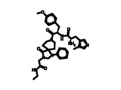 CCNC(=O)CN1CN(c2ccccc2)C2(CCN(C(=O)[C@@H](Cc3ccc(OC)cc3)NC(=O)[C@@H](N)Cc3cncn3C)CC2)C1=O